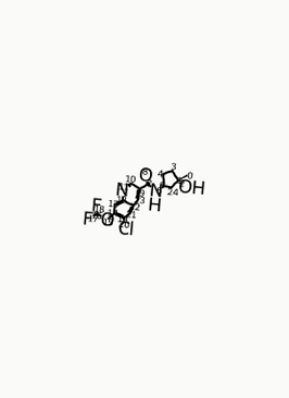 C[C@]1(O)CC[C@H](NC(=O)c2cnc3cc(OC(F)F)c(Cl)cc3c2)C1